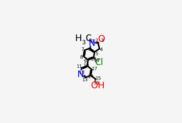 CN1C(=O)Cc2c1ccc(-c1cncc(CO)c1)c2Cl